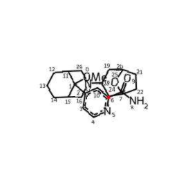 COC1(c2ccnc(C(N)=O)c2)C2CCCC1CN(C1CC3CCC(C1)O3)C2